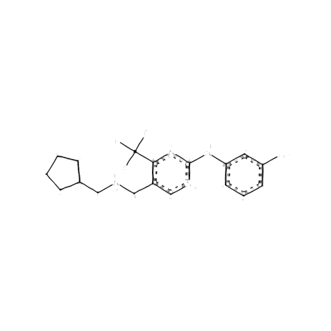 FC(F)(F)c1nc(Nc2cccc(Cl)c2)ncc1CNCC1CCCC1